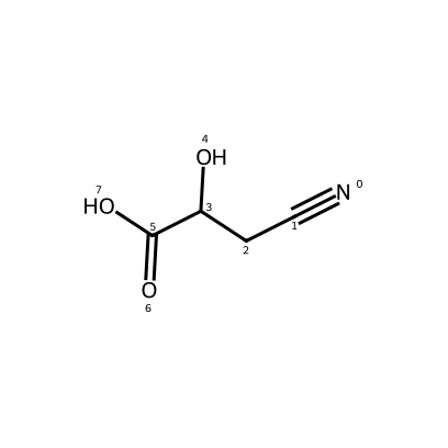 N#CCC(O)C(=O)O